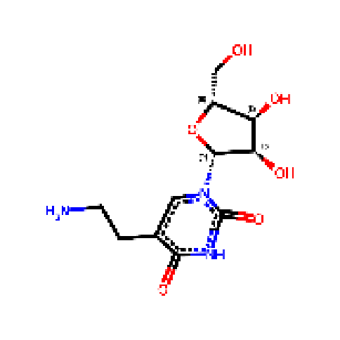 NCCc1cn([C@@H]2O[C@H](CO)[C@@H](O)[C@H]2O)c(=O)[nH]c1=O